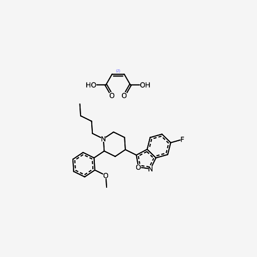 CCCCN1CCC(c2onc3cc(F)ccc23)CC1c1ccccc1OC.O=C(O)/C=C\C(=O)O